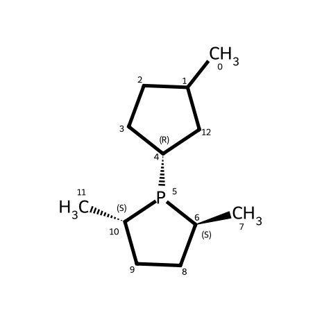 CC1CC[C@@H](P2[C@@H](C)CC[C@@H]2C)C1